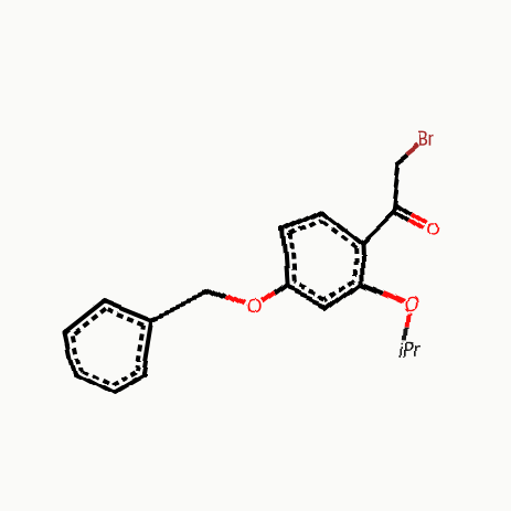 CC(C)Oc1cc(OCc2ccccc2)ccc1C(=O)CBr